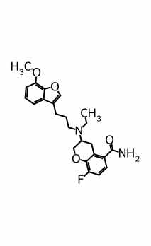 CCN(CCCc1coc2c(OC)cccc12)C1COc2c(F)ccc(C(N)=O)c2C1